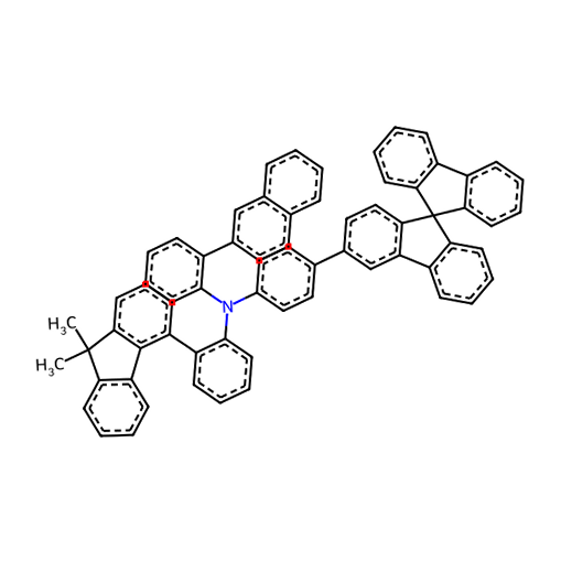 CC1(C)c2ccccc2-c2c(-c3ccccc3N(c3ccc(-c4ccc5c(c4)-c4ccccc4C54c5ccccc5-c5ccccc54)cc3)c3ccccc3-c3ccc4ccccc4c3)cccc21